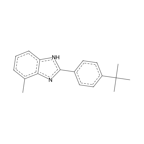 Cc1cccc2[nH]c(-c3ccc(C(C)(C)C)cc3)nc12